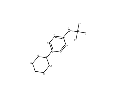 CC(C)(C)Oc1ccc(C2CCCCC2)cc1